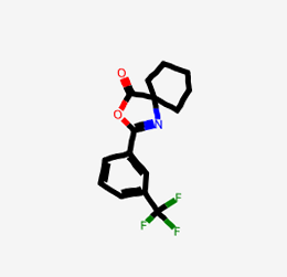 O=C1OC(c2cccc(C(F)(F)F)c2)=NC12CCCCC2